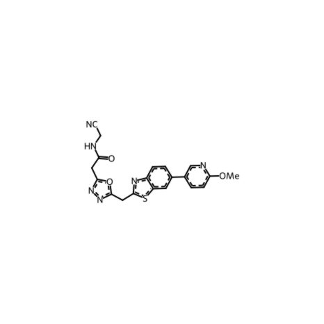 COc1ccc(-c2ccc3nc(Cc4nnc(CC(=O)NCC#N)o4)sc3c2)cn1